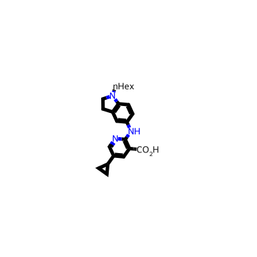 CCCCCCN1CCc2cc(Nc3ncc(C4CC4)cc3C(=O)O)ccc21